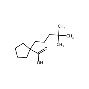 CC(C)(C)CCCC1(C(=O)O)CCCC1